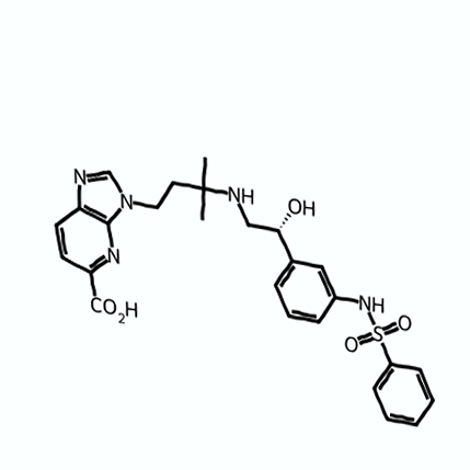 CC(C)(CCn1cnc2ccc(C(=O)O)nc21)NC[C@H](O)c1cccc(NS(=O)(=O)c2ccccc2)c1